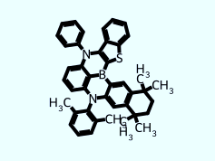 Cc1cccc(C)c1N1c2cc3c(cc2B2c4sc5ccccc5c4N(c4ccccc4)c4cccc1c42)C(C)(C)CCC3(C)C